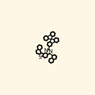 c1ccc2c(c1)-c1ccccc1C21c2ccccc2-c2cc(-c3nc(-c4cccc5ccccc45)c4ccc5sc6ccc7ccccc7c6c5c4n3)ccc21